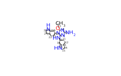 CCOC1N=C(N)N=C(Nc2ccc3cc[nH]c3c2)N1c1ccc2cc[nH]c2c1